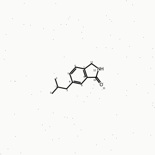 CC(C)Cc1ccc2c(c1)C(=O)NC2